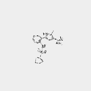 Cc1[nH]c(-c2ccccc2NS(=O)(=O)C2CCCC2)cc1C(N)=O